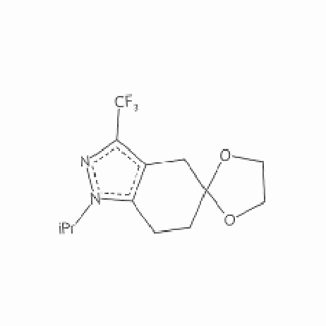 CC(C)n1nc(C(F)(F)F)c2c1CCC1(C2)OCCO1